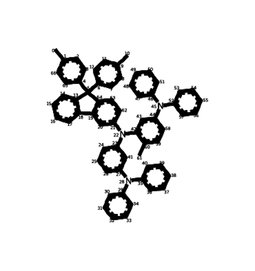 Cc1ccc(C2(c3ccc(C)cc3)c3ccccc3-c3cc(N(c4cccc(N(c5ccccc5)c5ccccc5)c4)c4cc(N(c5ccccc5)c5ccccc5)ccc4C)ccc32)cc1